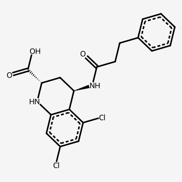 O=C(CCc1ccccc1)N[C@@H]1C[C@@H](C(=O)O)Nc2cc(Cl)cc(Cl)c21